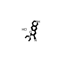 CCN(CC)C(=O)C(C#N)=Cc1ccc2c(c1)CNCC2.Cl